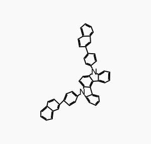 c1ccc2cc(-c3ccc(-n4c5ccccc5c5c6c7ccccc7n(-c7ccc(-c8ccc9ccccc9c8)cc7)c6ccc54)cc3)ccc2c1